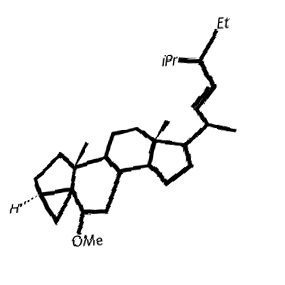 CCC(/C=C/C(C)C1CCC2C3CC(OC)C45C[C@H]4CC[C@]5(C)C3CC[C@]12C)C(C)C